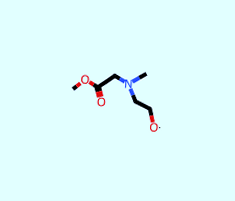 COC(=O)CN(C)CC[O]